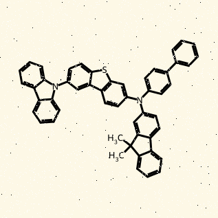 CC1(C)c2ccccc2-c2ccc(N(c3ccc(-c4ccccc4)cc3)c3ccc4c(c3)sc3ccc(-n5c6ccccc6c6ccccc65)cc34)cc21